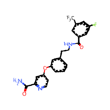 NC(=O)c1cc(Oc2cccc(CCNC(=O)c3cc(F)cc(C(F)(F)F)c3)c2)ccn1